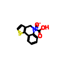 O=C(O)[N+]1([O-])Cc2ccsc2-c2ccccc21